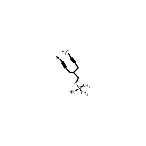 CC#CCC(CC#CBr)CO[Si](C)(C)C(C)(C)C